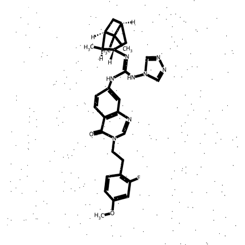 COc1ccc(CCn2cnc3cc(N/C(=N\[C@H]4C[C@@H]5C[C@H]([C@@H]4C)C5(C)C)Nn4cnnc4)ccc3c2=O)c(F)c1